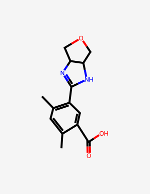 Cc1cc(C)c(C2=NC3COCC3N2)cc1C(=O)O